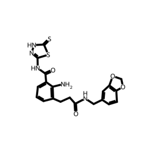 Nc1c(CCC(=O)NCc2ccc3c(c2)OCO3)cccc1C(=O)Nc1n[nH]c(=S)s1